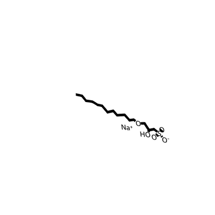 CCCCCCCCCCCCOCC(O)CS(=O)(=O)[O-].[Na+]